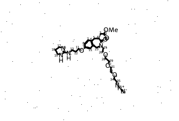 COC(=O)C[C@@H]1Cc2ccc(OCCCNC3=NCCCN3)cc2CN(CCOCCOCCOCCN=[N+]=[N-])C1=O